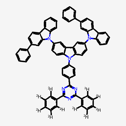 [2H]c1c([2H])c([2H])c(-c2nc(-c3ccc(-n4c5ccc(-n6c7ccccc7c7ccc(-c8ccccc8)cc76)cc5c5cc(-n6c7ccccc7c7ccc(-c8ccccc8)cc76)ccc54)cc3)nc(-c3c([2H])c([2H])c([2H])c([2H])c3[2H])n2)c([2H])c1[2H]